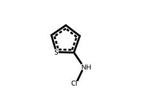 ClNc1cccs1